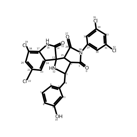 O=C1C2C(Cc3cccc(O)c3)NC3(C(=O)Nc4c(Cl)cc(Cl)cc43)C2C(=O)N1c1cc(Cl)cc(Cl)c1